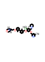 Cc1c(COc2cc(OCc3cncc(C#N)c3)c(CN3CCCC[C@H]3C(=O)O)cc2Cl)cccc1-c1cccc(OCCCN2[C@@H]3CC[C@H]2COC3)c1C